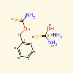 N.NC(=S)OCc1ccccc1.NC(O)=S